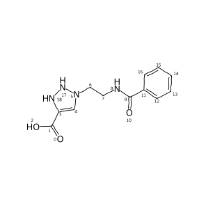 O=C(O)C1=CN(CCNC(=O)c2ccccc2)NN1